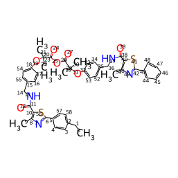 CCc1ccc(-c2nc(C)c(C(=O)NCc3ccc(OC(C)(C)C(=O)OC(=O)C(C)(C)Oc4ccc(CNC(=O)c5sc(-c6ccccc6)nc5C)cc4)cc3)s2)cc1